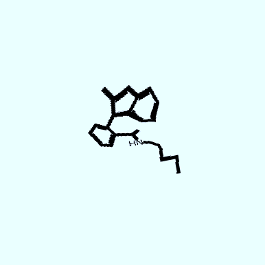 CCCCNC(C)c1ccccc1C1C(C)=Cc2ccccc21